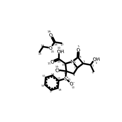 CC(O)C1C(=O)N2C1CC(Cl)([S+]([O-])c1ccccc1)C2C(=O)O.CCOC(C)=O